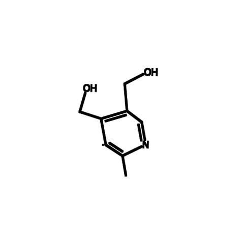 Cc1[c]c(CO)c(CO)cn1